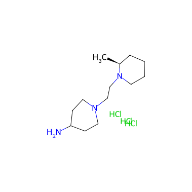 C[C@H]1CCCCN1CCN1CCC(N)CC1.Cl.Cl.Cl